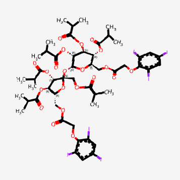 CC(C)C(=O)OC[C@@]1(O[C@H]2O[C@H](COC(=O)COc3c(I)cc(I)cc3I)[C@@H](OC(=O)C(C)C)[C@H](OC(=O)C(C)C)[C@H]2OC(=O)C(C)C)O[C@H](COC(=O)COc2c(I)cc(I)cc2I)[C@@H](OC(=O)C(C)C)[C@@H]1OC(=O)C(C)C